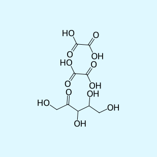 O=C(CO)C(O)C(O)CO.O=C(O)C(=O)O.O=C(O)C(=O)O